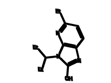 CCc1ccc2nc(O)n(C(CC)CC)c2n1